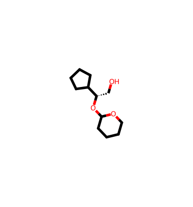 OC[C@H](OC1CCCCO1)C1CCCC1